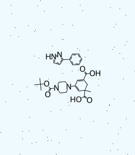 CC(C)(C)OC(=O)N1CCN(C2=CC(C)(C(=O)O)CC(C(=O)O)=C2)CC1.c1ccc(-c2cc[nH]n2)cc1